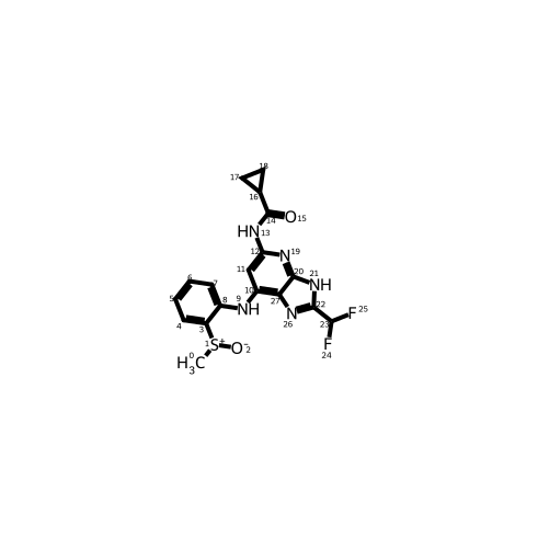 C[S+]([O-])c1ccccc1Nc1cc(NC(=O)C2CC2)nc2[nH]c(C(F)F)nc12